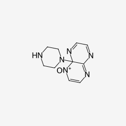 O=[N+]1C=CN=C2N=CC=NC21N1CCNCC1